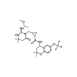 COCC[C@H](C1C[C@H]1C(=O)NC1CC(C)(C)Oc2ccc(OC(F)(F)F)cc21)N1C(=N)NC(C)(C)CC1=O